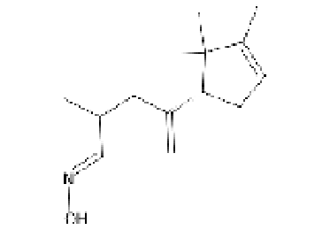 C=C(CC(C)C=NO)[C@H]1CC=C(C)C1(C)C